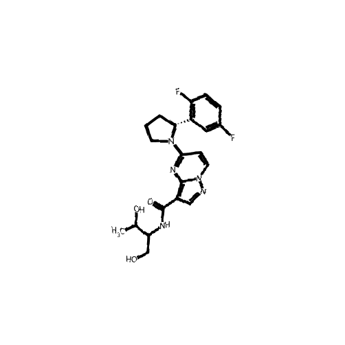 CC(O)C(CO)NC(=O)c1cnn2ccc(N3CCC[C@@H]3c3cc(F)ccc3F)nc12